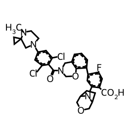 CN1CCN(c2cc(Cl)c(C(=O)N3COc4c(cccc4-c4cc(N5C6CCC5COC6)c(C(=O)O)cc4F)C3)c(Cl)c2)CC12CC2